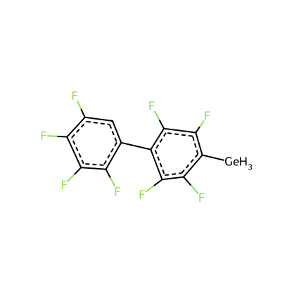 Fc1cc(-c2c(F)c(F)[c]([GeH3])c(F)c2F)c(F)c(F)c1F